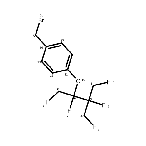 FCC(F)(CF)C(F)(CF)Oc1ccc(CBr)cc1